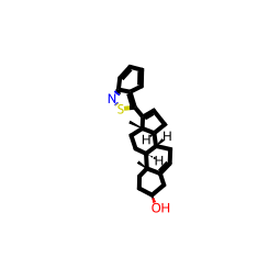 C[C@]12CC[C@H](O)CC1=CC[C@@H]1[C@@H]2CC[C@]2(C)C(c3snc4ccccc34)=CC[C@@H]12